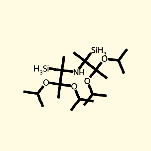 CC(C)OC(C)(OC(C)C)C(C)([SiH3])NC(C)([SiH3])C(C)(OC(C)C)OC(C)C